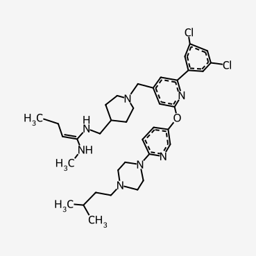 CC/C=C(/NC)NCC1CCN(Cc2cc(Oc3ccc(N4CCN(CCC(C)C)CC4)nc3)nc(-c3cc(Cl)cc(Cl)c3)c2)CC1